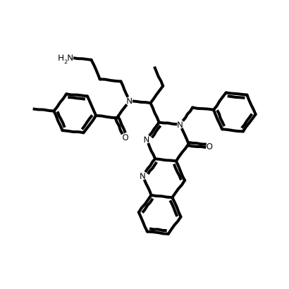 CCC(c1nc2nc3ccccc3cc2c(=O)n1Cc1ccccc1)N(CCCN)C(=O)c1ccc(C)cc1